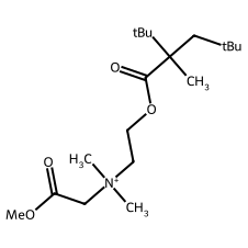 COC(=O)C[N+](C)(C)CCOC(=O)C(C)(CC(C)(C)C)C(C)(C)C